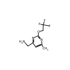 Cc1cc(CN)nc(OCC(F)(F)F)n1